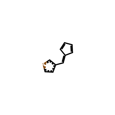 C1=CC(=Cc2ccsc2)C=C1